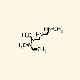 C=CN(C)N(C)CNCNC